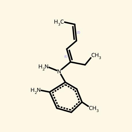 C/C=C\C=C(/CC)N(N)c1cc(C)ccc1N